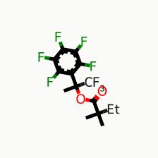 CCC(C)(C)C(=O)OC(C)(c1c(F)c(F)c(F)c(F)c1F)C(F)(F)F